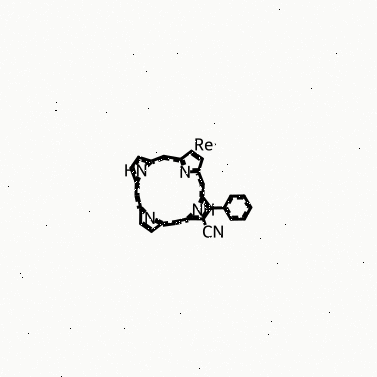 N#Cc1c(-c2ccccc2)c2cc3nc(cc4ccc(cc5nc(cc1[nH]2)C=C5)[nH]4)C=C3.[Re]